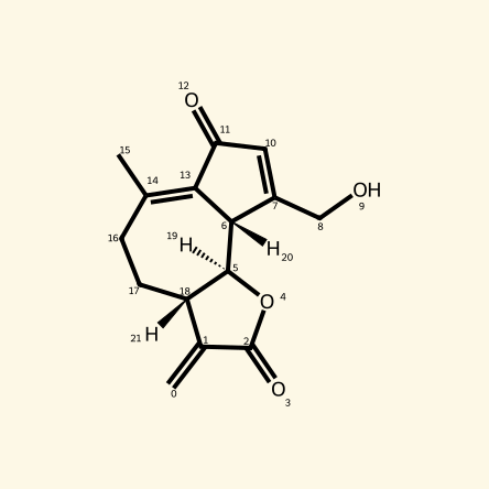 C=C1C(=O)O[C@@H]2[C@H]3C(CO)=CC(=O)C3=C(C)CC[C@@H]12